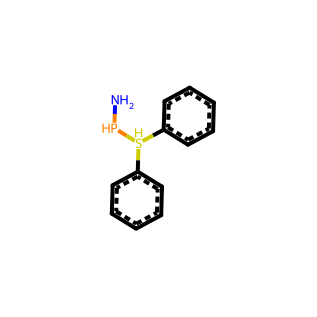 NP[SH](c1ccccc1)c1ccccc1